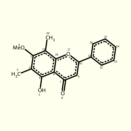 COc1c(C)c(O)c2c(=O)cc(-c3ccccc3)oc2c1C